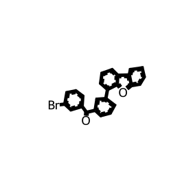 O=C(c1cccc(Br)c1)c1cccc(-c2cccc3c2oc2ccccc23)c1